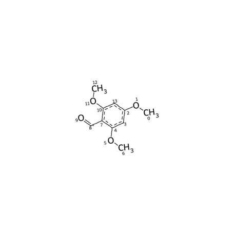 COc1cc(OC)c([C]=O)c(OC)c1